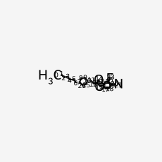 CCCCCCC[C@H]1CC[C@H](CCC(=O)Oc2ccc(C#N)c(F)c2)CC1